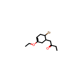 CCOC1=CCC(Br)C(CC(=O)CC)C1